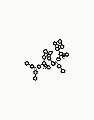 c1ccc(-c2ccc(N(c3ccc(-c4ccccc4)cc3)c3ccc(-c4cc(-c5ccc6c(c5)C5(c7ccccc7-c7cc(-c8cccc(N(c9ccc(-c%10ccccc%10)cc9)c9ccc(-c%10cc(-c%11ccc%12c(c%11)C%11(c%13ccccc%13-c%13ccccc%13%11)c%11ccccc%11-%12)cc%11c%10oc%10ccccc%10%11)cc9)c8)ccc75)c5ccccc5-6)cc5c4oc4ccccc45)cc3)cc2)cc1